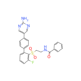 Nc1ncc(-c2ccc(-c3cccc(F)c3S(=O)(=O)CCNC(=O)c3ccccc3)cc2)cn1